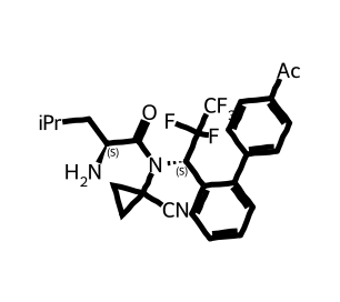 CC(=O)c1ccc(-c2ccccc2[C@H](N(C(=O)[C@@H](N)CC(C)C)C2(C#N)CC2)C(F)(F)C(F)(F)F)cc1